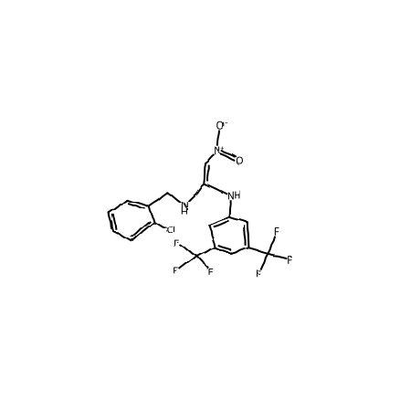 O=[N+]([O-])C=C(NCc1ccccc1Cl)Nc1cc(C(F)(F)F)cc(C(F)(F)F)c1